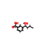 CCCC(O)c1cccc(C(=O)O)c1